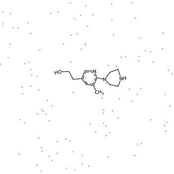 Cc1cc(CCO)cnc1N1CCNCC1